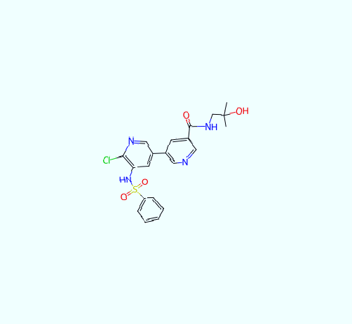 CC(C)(O)CNC(=O)c1cncc(-c2cnc(Cl)c(NS(=O)(=O)c3ccccc3)c2)c1